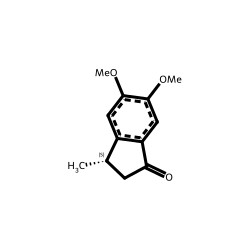 COc1cc2c(cc1OC)[C@@H](C)CC2=O